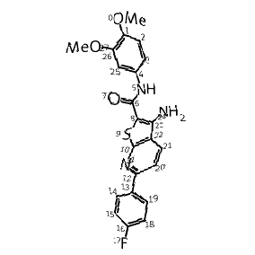 COc1ccc(NC(=O)c2sc3nc(-c4ccc(F)cc4)ccc3c2N)cc1OC